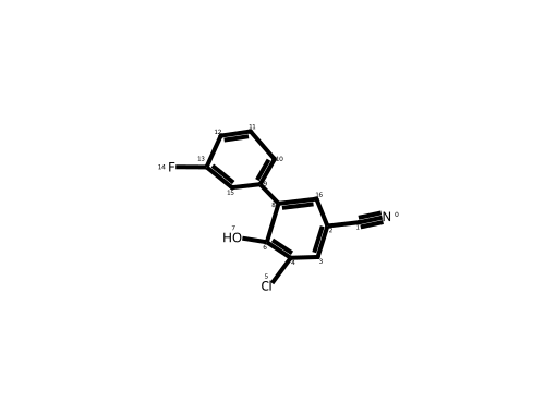 N#Cc1cc(Cl)c(O)c(-c2cccc(F)c2)c1